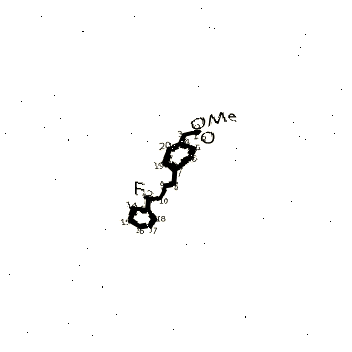 COC(=O)Cc1ccc(CCCC(F)c2ccccc2)cc1